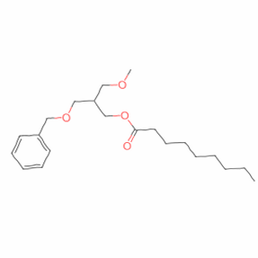 CCCCCCCCC(=O)OCC(COC)COCc1ccccc1